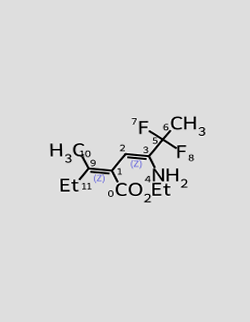 CCOC(=O)C(/C=C(\N)C(C)(F)F)=C(/C)CC